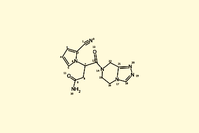 N#Cc1cccn1[C](CC(N)=O)C(=O)N1CCn2cnnc2C1